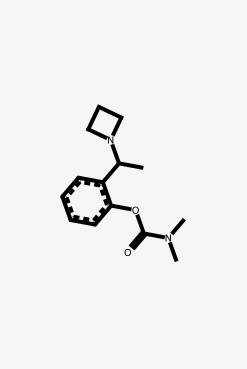 CC(c1ccccc1OC(=O)N(C)C)N1CCC1